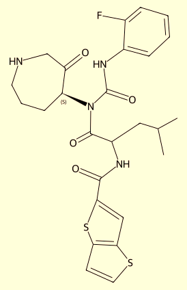 CC(C)CC(NC(=O)c1cc2sccc2s1)C(=O)N(C(=O)Nc1ccccc1F)[C@H]1CCCNCC1=O